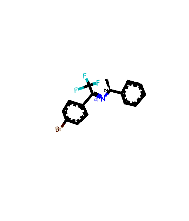 C[C@H](/N=C(/c1ccc(Br)cc1)C(F)(F)F)c1ccccc1